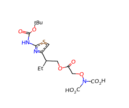 CCC(COC(=O)CON(C(=O)O)C(=O)O)c1csc(NC(=O)OC(C)(C)C)n1